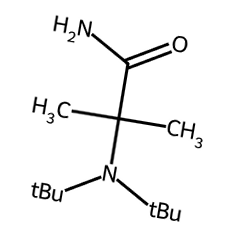 CC(C)(C)N(C(C)(C)C)C(C)(C)C(N)=O